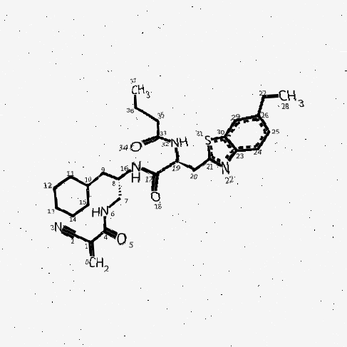 C=C(C#N)C(=O)NC[C@H](CC1CCCCC1)NC(=O)[C@H](Cc1nc2ccc(CC)cc2s1)NC(=O)CCC